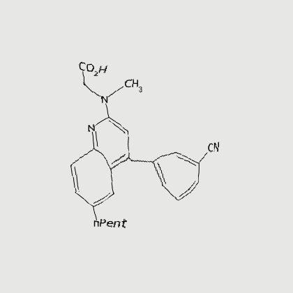 CCCCCc1ccc2nc(N(C)CC(=O)O)cc(-c3cccc(C#N)c3)c2c1